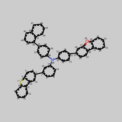 c1cc(-c2ccc3sc4ccccc4c3c2)cc(N(c2ccc(-c3ccc4c(c3)oc3ccccc34)cc2)c2ccc(-c3cccc4ccccc34)cc2)c1